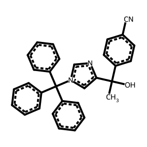 CC(O)(c1ccc(C#N)cc1)c1cn(C(c2ccccc2)(c2ccccc2)c2ccccc2)cn1